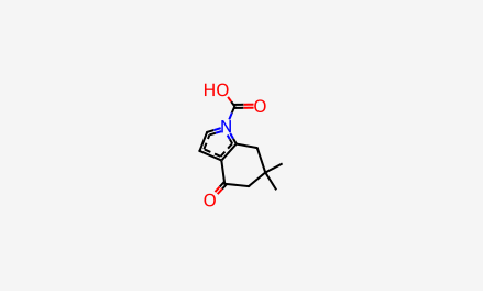 CC1(C)CC(=O)c2ccn(C(=O)O)c2C1